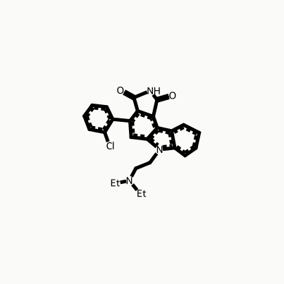 CCN(CC)CCn1c2ccccc2c2c3c(c(-c4ccccc4Cl)cc21)C(=O)NC3=O